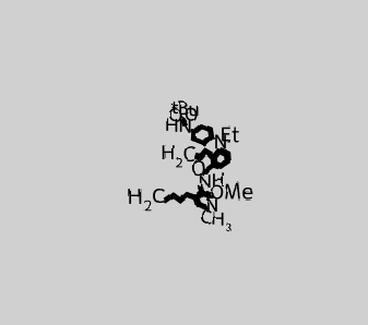 C=CCCCc1cc(C)nc(OC)c1CNC(=O)c1cccc(N(CC)[C@H]2CC[C@H](NC(=O)OC(C)(C)C)CC2)c1CC=C